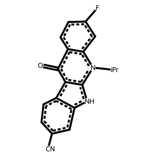 CC(C)n1c2cc(F)ccc2c(=O)c2c3ccc(C#N)cc3[nH]c21